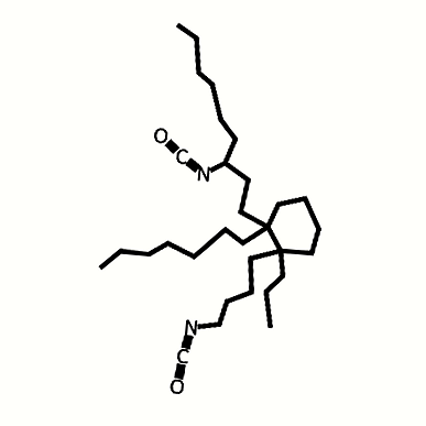 CCCCCCCC1(CCC(CCCCCC)N=C=O)CCCCC1(CCC)CCCCN=C=O